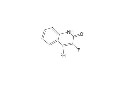 [2H]c1c(F)c(=O)[nH]c2ccccc12